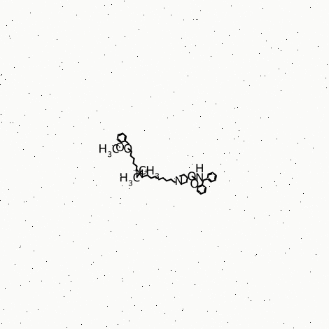 COc1ccccc1COCCCCCC[N+](C)(C)CCCCCCCCCN1CCC(OC(=O)NC(c2ccccc2)c2ccccc2)CC1